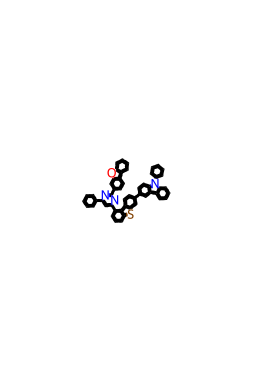 c1ccc(-c2cc(-c3cccc4sc5cc(-c6ccc7c(c6)c6ccccc6n7-c6ccccc6)ccc5c34)nc(-c3ccc4c(c3)oc3ccccc34)n2)cc1